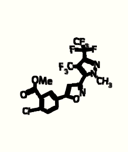 COC(=O)c1cc(-c2cc(-c3c(C(F)(F)F)c(C(F)(F)C(F)(F)F)nn3C)no2)ccc1Cl